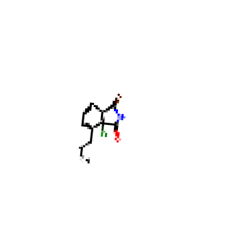 N#CCCC1=CC=CC2C(=S)NC(=O)C12Cl